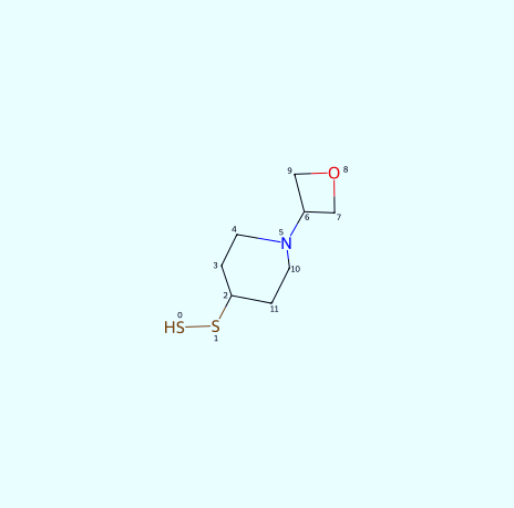 SSC1CCN(C2COC2)CC1